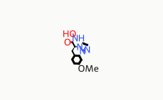 COc1ccc(C[C@@H](C(=O)NO)n2ccnn2)cc1